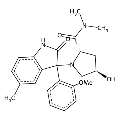 COc1ccccc1C1(N2C[C@H](O)C[C@H]2C(=O)N(C)C)C(=O)Nc2ccc(C)cc21